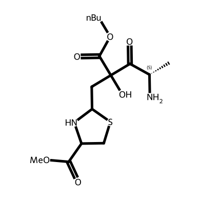 CCCCOC(=O)C(O)(CC1NC(C(=O)OC)CS1)C(=O)[C@H](C)N